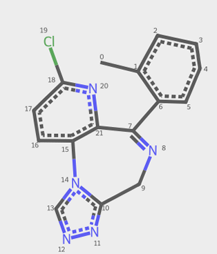 Cc1ccccc1C1=NCc2nncn2-c2ccc(Cl)nc21